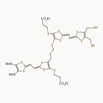 CCOC(=O)CCSC1=C(CSCSC2=C(SCCC(=O)OCC)SC(=CC=C3SC(CS)=C(CS)S3)S2)SC(=CC=C2SC(SC)=C(SC)S2)S1